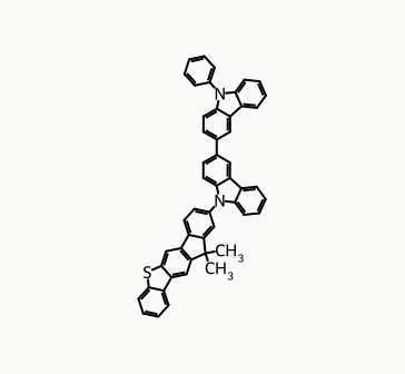 CC1(C)c2cc(-n3c4ccccc4c4cc(-c5ccc6c(c5)c5ccccc5n6-c5ccccc5)ccc43)ccc2-c2cc3sc4ccccc4c3cc21